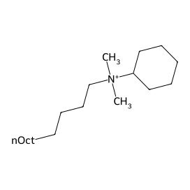 CCCCCCCCCCCC[N+](C)(C)C1CCCCC1